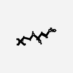 C[Si](C)(C)CCOC(=O)/C=C/[C]=O